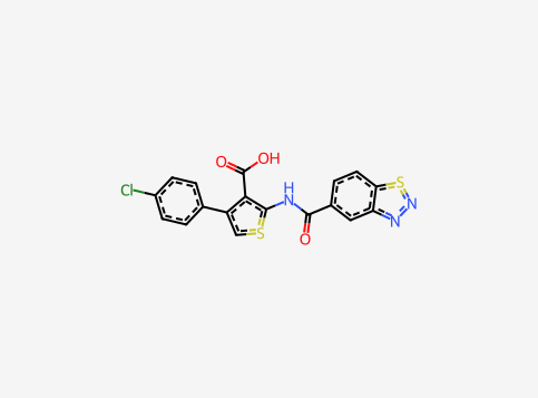 O=C(Nc1scc(-c2ccc(Cl)cc2)c1C(=O)O)c1ccc2snnc2c1